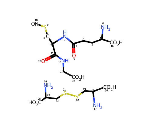 NC(CCC(=O)NC(CSN=O)C(=O)NCC(=O)O)C(=O)O.NC(CSSCC(N)C(=O)O)C(=O)O